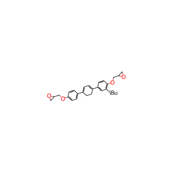 CCC(C)c1cc(C2=CC=C(c3ccc(OCC4CO4)cc3)CC2)ccc1OCC1CO1